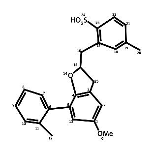 COc1cc2c(c(-c3ccccc3C)c1)OC(Cc1cc(C)ccc1S(=O)(=O)O)C2